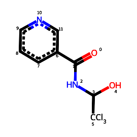 O=C(NC(O)C(Cl)(Cl)Cl)c1cccnc1